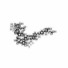 CC(C)(CO)[C@@H](O)C(=O)NCCC(=O)[O-].C[N+](C)(C)CCO.Cc1cc2nc3c(=O)[nH]c(=O)nc-3n(C[C@H](O)[C@H](O)[C@H](O)CO)c2cc1C.NC(=O)c1cccnc1.Nc1nc(=O)c2nc(CNc3ccc(C(=O)N[C@@H](CCC(=O)O)C(=O)O)cc3)cnc2[nH]1